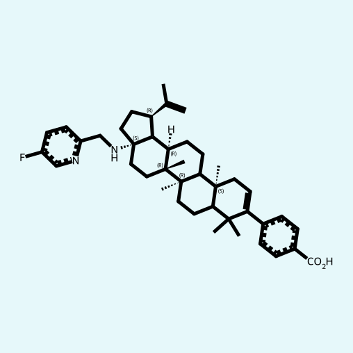 C=C(C)[C@@H]1CC[C@]2(NCc3ccc(F)cn3)CC[C@]3(C)[C@H](CCC4[C@@]5(C)CC=C(c6ccc(C(=O)O)cc6)C(C)(C)C5CC[C@]43C)C12